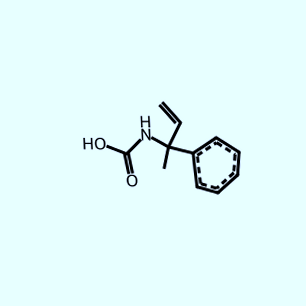 C=CC(C)(NC(=O)O)c1ccccc1